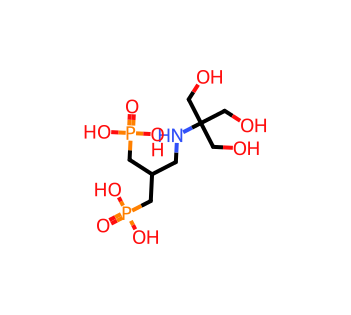 O=P(O)(O)CC(CNC(CO)(CO)CO)CP(=O)(O)O